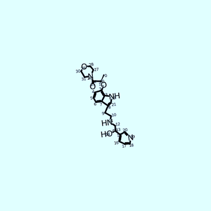 C[C@@H](Oc1cccc2c(CCNC[C@H](O)c3cccnc3)c[nH]c12)C(=O)N1CCOCC1